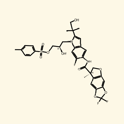 Cc1ccc(S(=O)(=O)OC[C@H](O)Cn2c(C(C)(C)CO)cc3cc(NC(=O)[C@@]4(C)COc5cc6c(cc54)OC(F)(F)O6)c(F)cc32)cc1